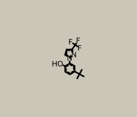 CC(C)(C)c1ccc(O)c(-n2ccc(C(F)(F)F)n2)c1